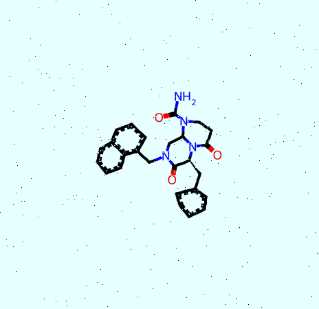 NC(=O)N1CCC(=O)N2C1CN(Cc1cccc3ccccc13)C(=O)[C@@H]2Cc1ccccc1